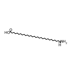 NNCCCCCCCCCCCCCCCCCCCCCCCCCCCCC(=O)O